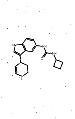 O=C(Nc1ccc2[nH]cc(C3C=CNCC3)c2c1)NC1CCC1